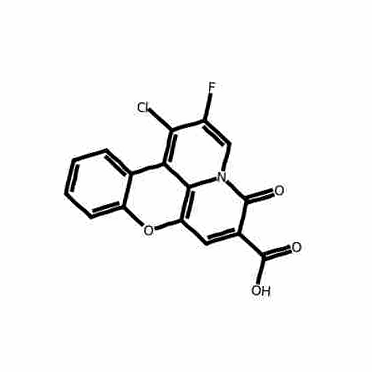 O=C(O)c1cc2c3c(c(Cl)c(F)cn3c1=O)-c1ccccc1O2